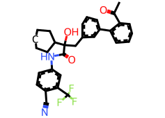 CC(=O)c1ccccc1-c1cccc(CC(O)(C(=O)Nc2ccc(C#N)c(C(F)(F)F)c2)C2CCCCC2)c1